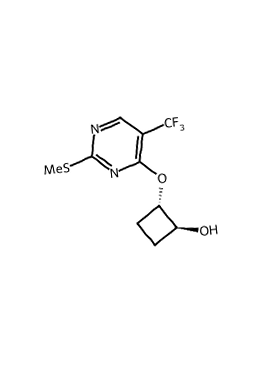 CSc1ncc(C(F)(F)F)c(O[C@H]2CC[C@@H]2O)n1